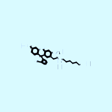 O=C(Cc1cc2c(cc1O)Oc1cc(O)ccc1C21OC(=O)c2ccccc21)NCCCCCCO